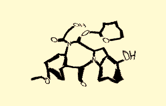 COc1ccc2c(c1)C(=O)N1c3cccc(O)c3CC1C(OC1CCCCO1)N2C(=O)O